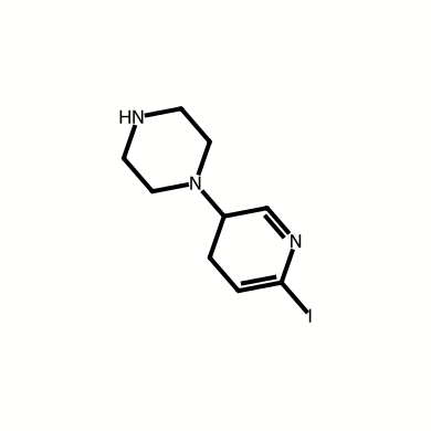 IC1=CCC(N2CCNCC2)C=N1